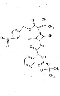 CC(O)=C(C(=O)OCc1ccc([N+](=O)[O-])cc1)N1C(=O)C(NC(=O)C(NC(=O)OC(C)(C)C)C2=CCC=CC2)C1S